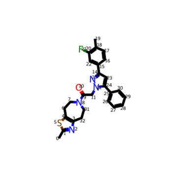 Cc1nc2c(s1)CCN(C(=O)Cn1nc(-c3ccc(C)c(F)c3)cc1-c1ccccc1)CC2